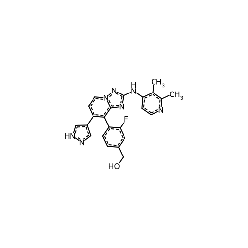 Cc1nccc(Nc2nc3c(-c4ccc(CO)cc4F)c(-c4cn[nH]c4)ccn3n2)c1C